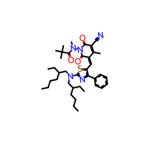 CCCCC(CC)CN(CC(CC)CCCC)c1nc(-c2ccccc2)c(/C=C2\C(=O)N(N(C)C(=O)C(C)(C)C)C(=O)C(C#N)=C2C)s1